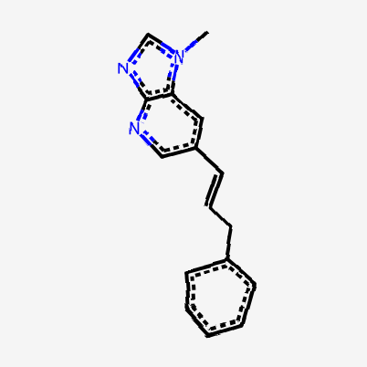 Cn1cnc2ncc(/C=C/Cc3ccccc3)cc21